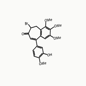 COc1ccc(C2=CC(=O)C(Br)Cc3c2cc(OC)c(OC)c3OC)cc1O